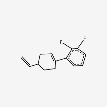 C=CC1CC=C(c2cccc(F)c2F)CC1